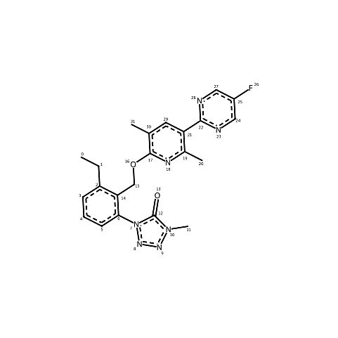 CCc1cccc(-n2nnn(C)c2=O)c1COc1nc(C)c(-c2ncc(F)cn2)cc1C